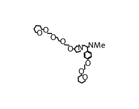 CNC(CN1CCC(OCCOCCOCCOC2CCCCO2)C1)c1ccc(OCCOC2CCCCO2)cc1